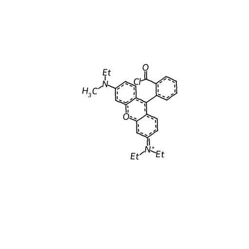 CCN(C)c1ccc2c(-c3ccccc3C(=O)Cl)c3ccc(=[N+](CC)CC)cc-3oc2c1